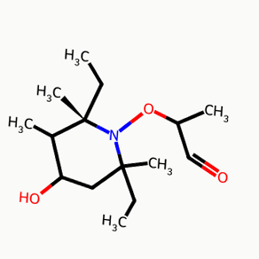 CCC1(C)CC(O)C(C)[C@](C)(CC)N1OC(C)C=O